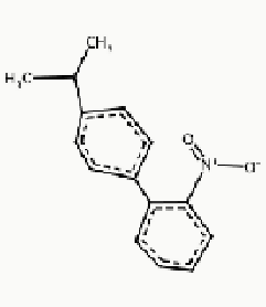 CC(C)c1ccc(-c2ccccc2[N+](=O)[O-])cc1